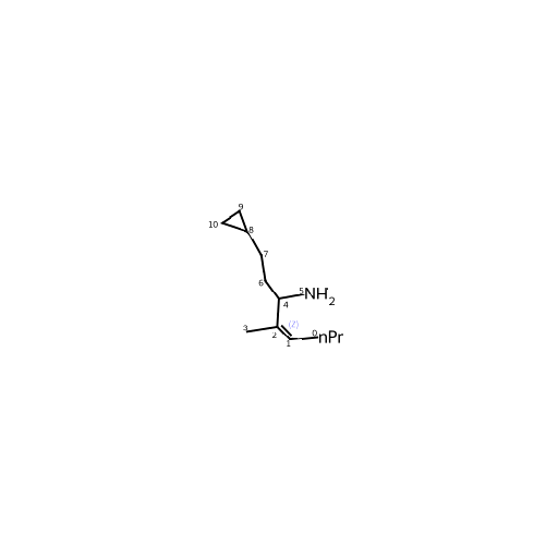 CCC/C=C(/C)C(N)CCC1CC1